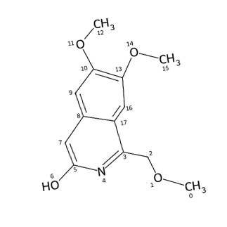 COCc1nc(O)cc2cc(OC)c(OC)cc12